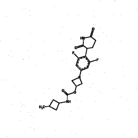 CC1CC(NC(=O)OC2CN(c3cc(F)c(C4CCC(=O)NC4=O)c(F)c3)C2)C1